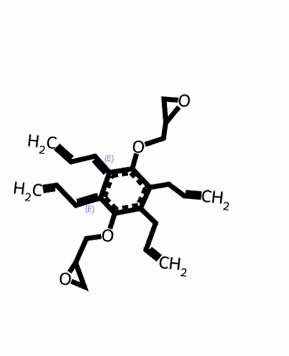 C=C/C=c1/c(OCC2CO2)c(CC=C)c(CC=C)c(OCC2CO2)/c1=C/C=C